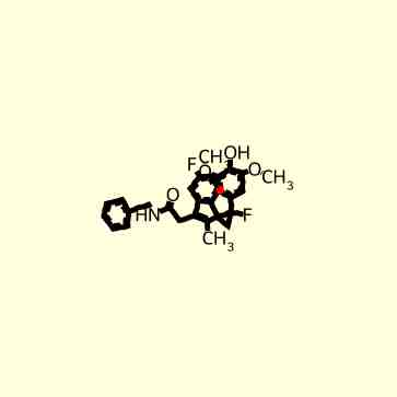 COc1cc(C2(F)CC23C(C)=C(CC(=O)NCc2ccccc2)c2cc(F)ccc23)cc(OC)c1O